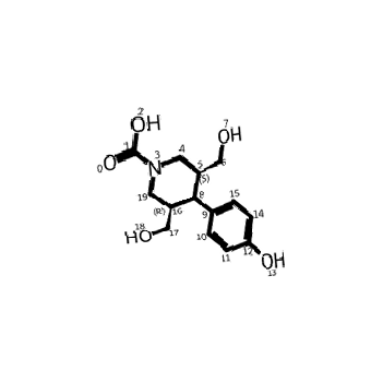 O=C(O)N1C[C@@H](CO)C(c2ccc(O)cc2)[C@@H](CO)C1